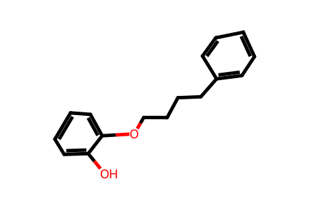 Oc1ccccc1OCCCCc1ccccc1